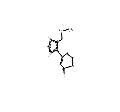 COCc1ncsc1C1=CC(=O)CCC1